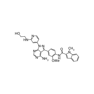 COc1cc(-c2nn(-c3ccnc(NCCO)c3)c3ncnc(N)c23)ccc1NC(=O)c1cc2ccccc2n1C